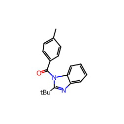 Cc1ccc(C(=O)n2c(C(C)(C)C)nc3ccccc32)cc1